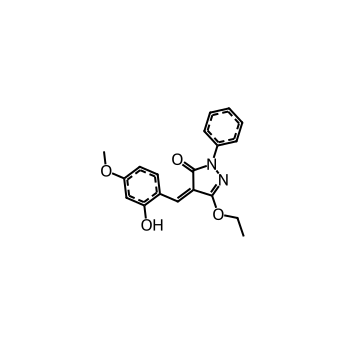 CCOC1=NN(c2ccccc2)C(=O)/C1=C\c1ccc(OC)cc1O